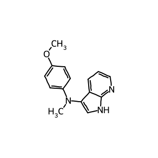 COc1ccc(N(C)c2c[nH]c3ncccc23)cc1